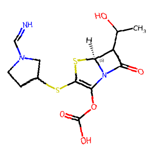 CC(O)C1C(=O)N2C(OC(=O)O)=C(SC3CCN(C=N)C3)S[C@@H]12